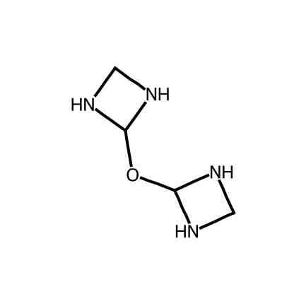 C1NC(OC2NCN2)N1